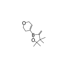 C=C1B(C2=CCOCC2)OC(C)(C)C1(C)C